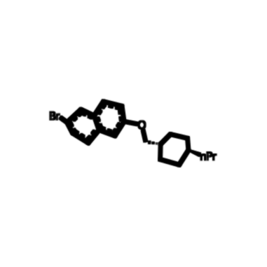 CCC[C@H]1CC[C@H](COc2ccc3cc(Br)ccc3c2)CC1